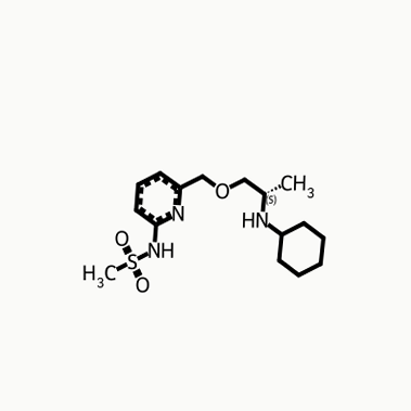 C[C@@H](COCc1cccc(NS(C)(=O)=O)n1)NC1CCCCC1